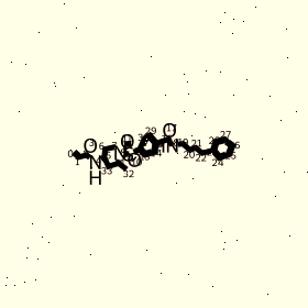 C=CC(=O)NC1CCN(S(=O)(=O)c2ccc(C(=O)NCCCCc3ccccc3)cc2)C(C)C1